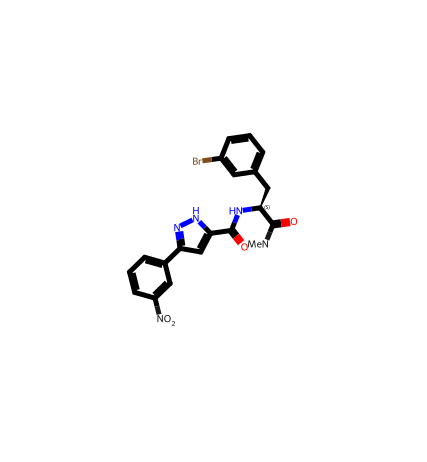 CNC(=O)[C@H](Cc1cccc(Br)c1)NC(=O)c1cc(-c2cccc([N+](=O)[O-])c2)n[nH]1